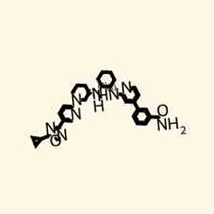 NC(=O)c1cccc(-c2ccnc(N[C@@H]3CCCC[C@H]3N[C@H]3CCCN(c4ccc(-c5noc(C6CC6)n5)cn4)C3)c2)c1